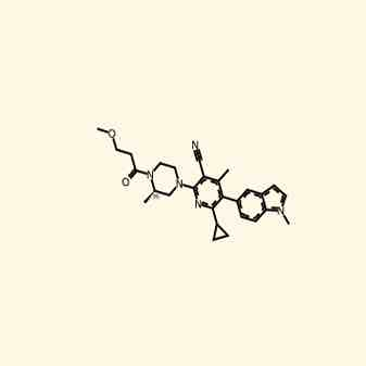 COCCC(=O)N1CCN(c2nc(C3CC3)c(-c3ccc4c(ccn4C)c3)c(C)c2C#N)C[C@H]1C